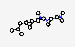 C1=CC(n2c3ccc(-n4c5ccccc5c5cc(-c6ccc7c(c6)c6ccccc6n7-c6ccccc6)ccc54)cc3c3ccc(-c4ccc5c6ccc(-c7cccc(-c8cc(-c9ccccc9)cc(-c9ccccc9)c8)c7)cc6c6ccccc6c5c4)cc32)=CCC1